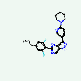 CNCc1cc(F)c(-c2ncc3[nH]nc(-c4ccc(N5CCCCC5)nc4)c3n2)c(F)c1